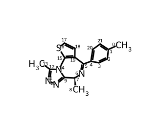 Cc1ccc(C2=N[C@@H](C)c3nnc(C)n3-c3sccc32)cc1